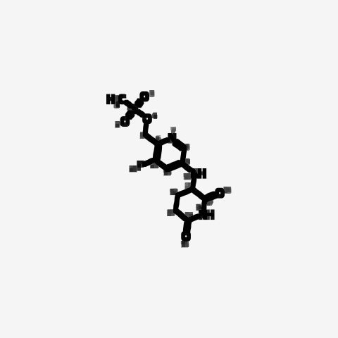 CS(=O)(=O)OCc1ncc(NC2CCC(=O)NC2=O)cc1F